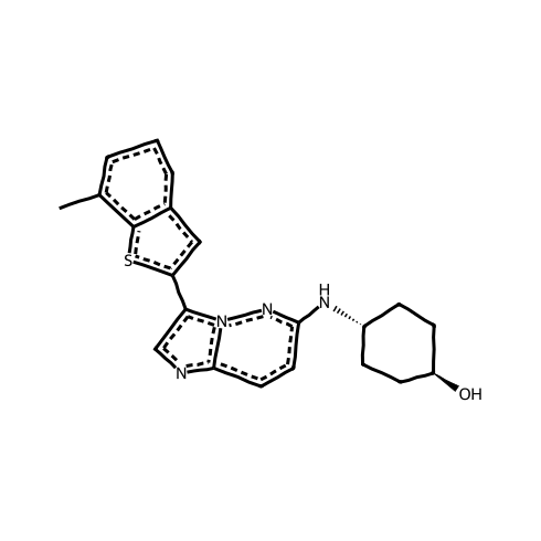 Cc1cccc2cc(-c3cnc4ccc(N[C@H]5CC[C@H](O)CC5)nn34)sc12